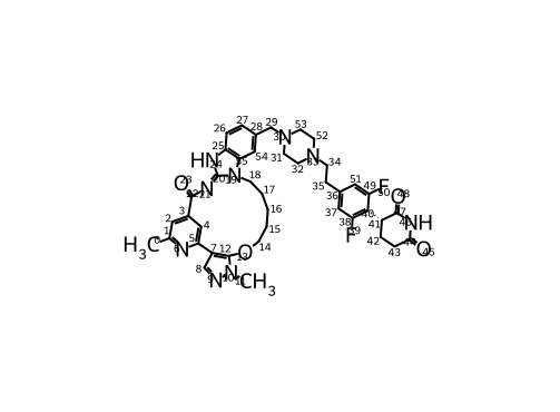 Cc1cc2cc(n1)-c1cnn(C)c1OCCCCCN1/C(=N/C2=O)Nc2ccc(CN3CCN(CCc4cc(F)c([C@H]5CCC(=O)NC5=O)c(F)c4)CC3)cc21